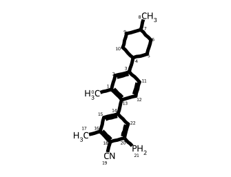 Cc1cc(C2CCC(C)CC2)ccc1-c1cc(C)c(C#N)c(P)c1